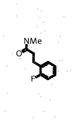 CNC(=O)CCc1ccccc1F